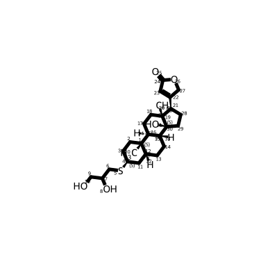 C[C@]12CC[C@H](SCC(O)CO)C[C@H]1CC[C@@H]1[C@@H]2CC[C@]2(C)[C@@H](C3=CC(=O)OC3)CC[C@]12O